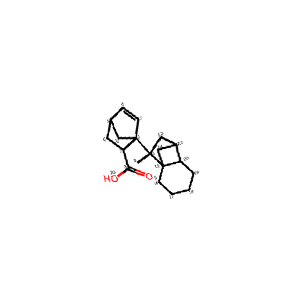 CC1(C23C=CC(CC2C(=O)O)C3)CC2CC13CCCCC23